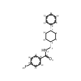 O=C(NC[C@H]1CC[C@@H](c2ccccc2)CC1)c1ccc(F)cc1